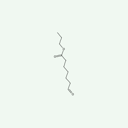 CCCOC(=O)CCCCCC=O